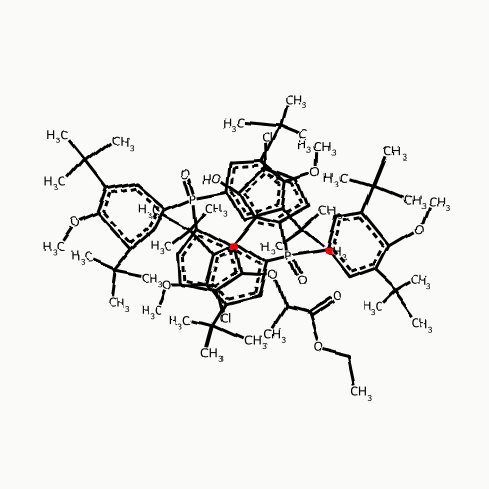 CCOC(=O)C(C)Oc1c(Cl)ccc(P(=O)(c2cc(C(C)(C)C)c(OC)c(C(C)(C)C)c2)c2cc(C(C)(C)C)c(OC)c(C(C)(C)C)c2)c1-c1c(P(=O)(c2cc(C(C)(C)C)c(OC)c(C(C)(C)C)c2)c2cc(C(C)(C)C)c(OC)c(C(C)(C)C)c2)ccc(Cl)c1O